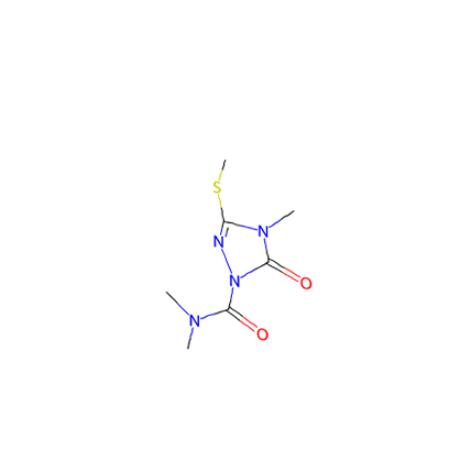 CSc1nn(C(=O)N(C)C)c(=O)n1C